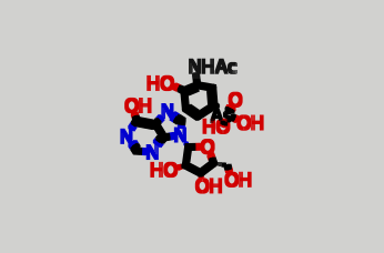 CC(=O)Nc1cc([As](=O)(O)O)ccc1O.OC[C@H]1O[C@@H](n2cnc3c(O)ncnc32)[C@H](O)[C@@H]1O